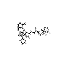 CC(C)(C)OC(=O)NCCCC[C@](N)(C(=O)ON1C(=O)CCC1=O)C(=O)C1CCCC1